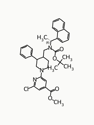 COC(=O)c1cc(Cl)nc(N2CCC(CN(C(=O)OC(C)(C)C)[C@H](C)c3cccc4ccccc34)C(c3ccccc3)C2)c1